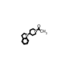 CC(=O)N1CCC(N2CCc3ccccc32)CC1